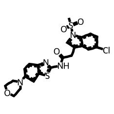 CS(=O)(=O)n1cc(CC(=O)Nc2nc3ccc(N4CCOCC4)cc3s2)c2cc(Cl)ccc21